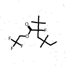 CCC(C)(C)CC(F)(C(=O)OCC(F)(F)F)C(C)(C)C